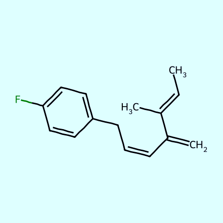 C=C(/C=C\Cc1ccc(F)cc1)/C(C)=C/C